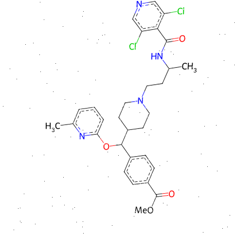 COC(=O)c1ccc(C(Oc2cccc(C)n2)C2CCN(CCC(C)NC(=O)c3c(Cl)cncc3Cl)CC2)cc1